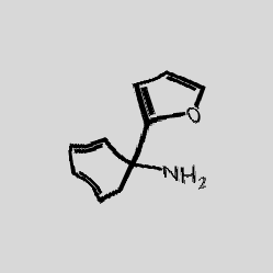 NC1(c2ccco2)C=CC=CC1